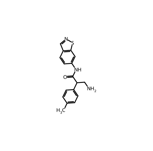 Cc1ccc(C(CN)C(=O)Nc2ccc3cnsc3c2)cc1